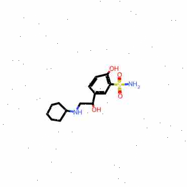 NS(=O)(=O)c1cc(C(O)CNC2CCCCC2)ccc1O